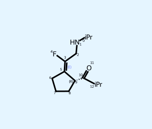 CC(C)NC/C(F)=C1/CCC[C@H]1C(=O)C(C)C